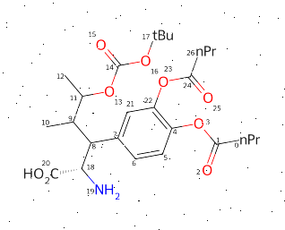 CCCC(=O)Oc1ccc(C(C(C)C(C)OC(=O)OC(C)(C)C)[C@H](N)C(=O)O)cc1OC(=O)CCC